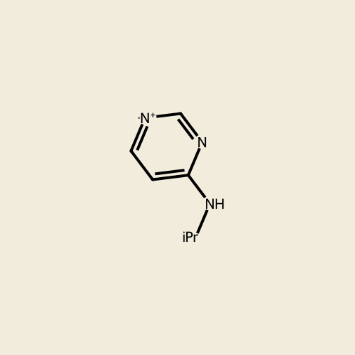 CC(C)NC1=CC=[N+]C=N1